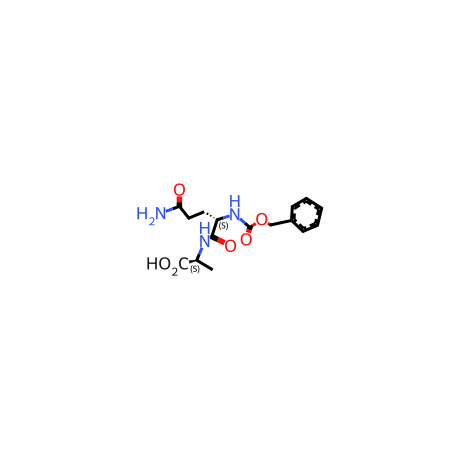 C[C@H](NC(=O)[C@H](CCC(N)=O)NC(=O)OCc1ccccc1)C(=O)O